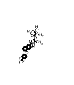 CC(C)[C@H](N)C(=O)OC[C@@H](C)NC(=O)c1ccc2c(Oc3ccc(C(F)(F)F)cc3)cccc2c1